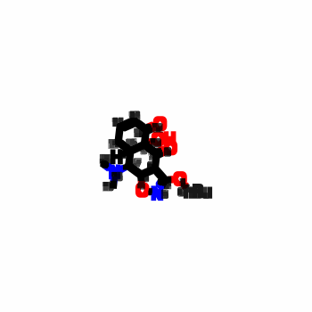 CCCCOC1=NOC2C1C(=O)[C@@]1(O)C(=O)C=CC[C@H]1[C@@H]2N(C)C